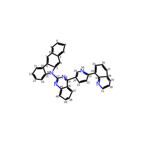 c1ccc2cc3c(cc2c1)c1ccccc1n3-c1nc(-c2ccc(-c3cccc4cccnc34)nc2)c2ccccc2n1